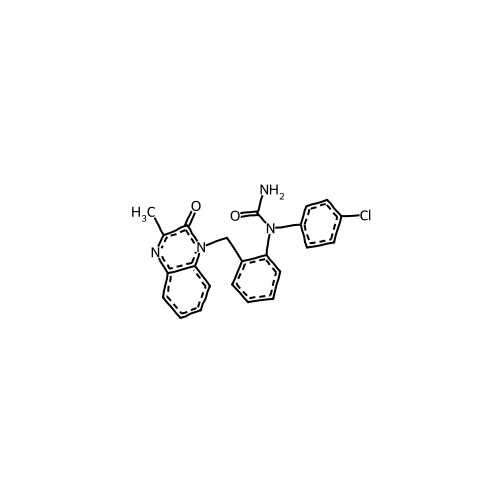 Cc1nc2ccccc2n(Cc2ccccc2N(C(N)=O)c2ccc(Cl)cc2)c1=O